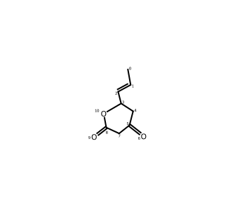 C/C=C/C1CC(=O)CC(=O)O1